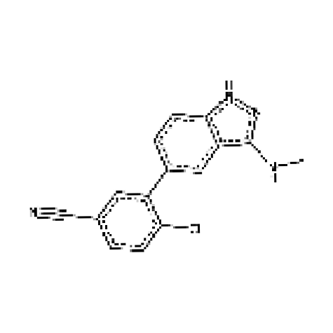 CNc1n[nH]c2ccc(-c3cc(C#N)ccc3Cl)cc12